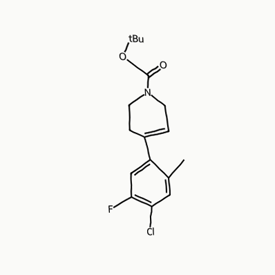 Cc1cc(Cl)c(F)cc1C1=CCN(C(=O)OC(C)(C)C)CC1